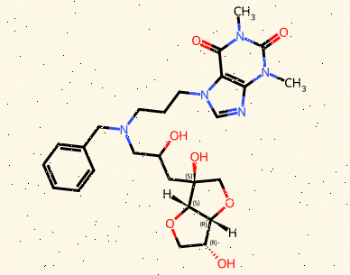 Cn1c(=O)c2c(ncn2CCCN(Cc2ccccc2)CC(O)C[C@]2(O)CO[C@@H]3[C@H](O)CO[C@@H]32)n(C)c1=O